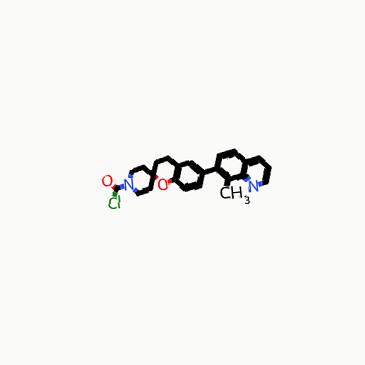 Cc1c(-c2ccc3c(c2)CCC2(CCN(C(=O)Cl)CC2)O3)ccc2cccnc12